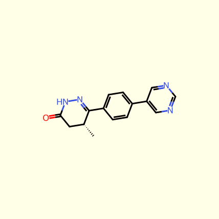 C[C@@H]1CC(=O)NN=C1c1ccc(-c2cncnc2)cc1